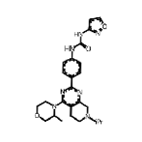 CC(C)N1CCc2c(nc(-c3ccc(NC(=O)Nc4ccon4)cc3)nc2N2CCOCC2C)C1